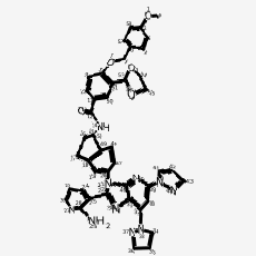 COc1ccc(COc2ccc(C(=O)N[C@H]3CCc4cc(-n5c(-c6cccnc6N)nc6c(-n7cccn7)cc(-n7cccn7)nc65)ccc43)cc2C2OCCO2)cc1